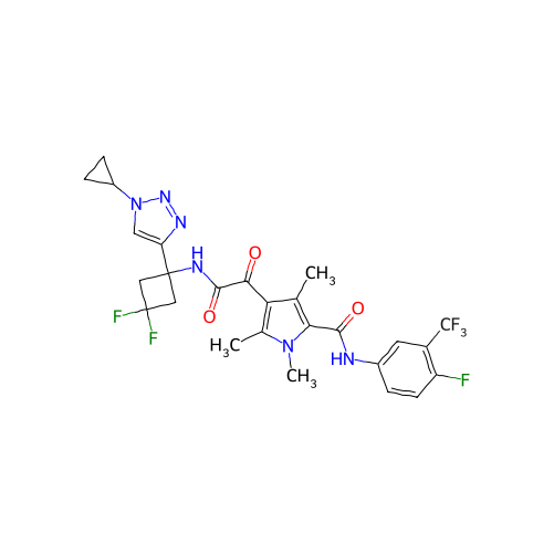 Cc1c(C(=O)C(=O)NC2(c3cn(C4CC4)nn3)CC(F)(F)C2)c(C)n(C)c1C(=O)Nc1ccc(F)c(C(F)(F)F)c1